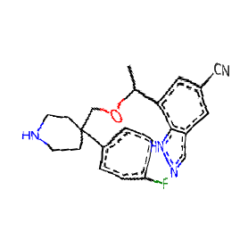 CC(OCC1(c2ccc(F)cc2)CCNCC1)c1cc(C#N)cc2cn[nH]c12